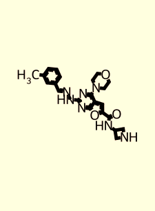 Cc1cccc(/C=N/Nc2nc(N3CCOCC3)c3cc(C(=O)NC4CNC4)oc3n2)c1